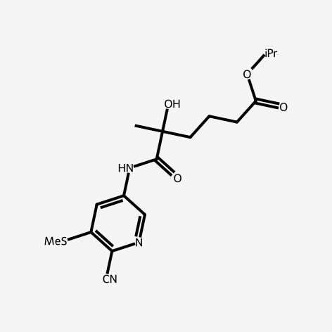 CSc1cc(NC(=O)C(C)(O)CCCC(=O)OC(C)C)cnc1C#N